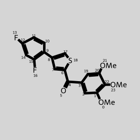 COc1cc(C(=O)c2cc(-c3ccc(F)cc3F)cs2)cc(OC)c1OC